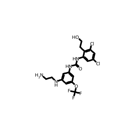 NCCNc1cc(NC(=O)Nc2cc(Cl)cc(Cl)c2CCO)cc(OC(F)(F)F)c1